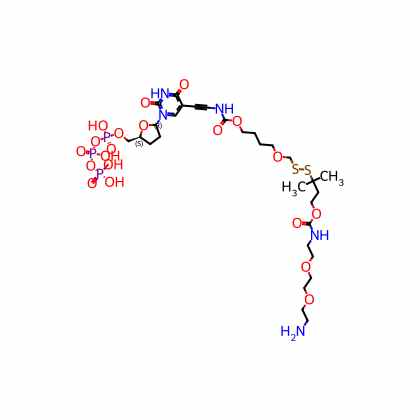 CC(C)(CCOC(=O)NCCOCCOCCN)SSCOCCCCOC(=O)NC#Cc1cn([C@H]2CC[C@@H](COP(=O)(O)OP(=O)(O)OP(=O)(O)O)O2)c(=O)[nH]c1=O